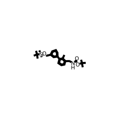 Cc1c(CNC(=O)OC(C)(C)C)cccc1-c1cccc(CO[Si](C)(C)C(C)(C)C)c1